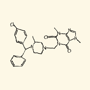 CC1CN(Cn2c(=O)c3c(ncn3C)n(C)c2=O)CCN1C(c1ccccc1)c1ccc(Cl)cc1